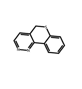 c1ccc2c(c1)SCc1ccnnc1-2